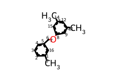 Cc1cccc(COc2cc(C)cc(C)c2)c1